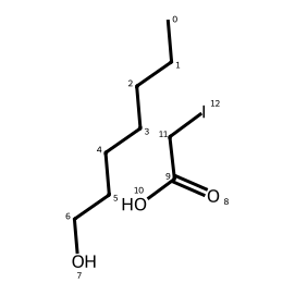 CCCCCCCO.O=C(O)CI